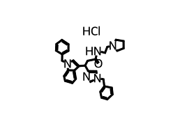 Cl.O=C(CC(c1cn(Cc2ccccc2)cn1)c1cn(Cc2ccccc2)c2ccccc12)NCCN1CCCC1